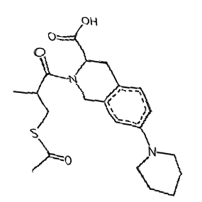 CC(=O)SCC(C)C(=O)N1Cc2cc(N3CCCCC3)ccc2CC1C(=O)O